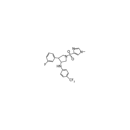 Cn1cnc(S(=O)(=O)N2CC(Nc3ccc(C(F)(F)F)cc3)C(c3cccc(F)c3)C2)c1